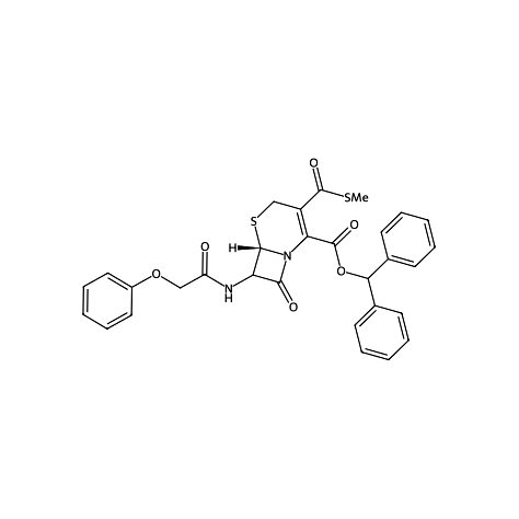 CSC(=O)C1=C(C(=O)OC(c2ccccc2)c2ccccc2)N2C(=O)C(NC(=O)COc3ccccc3)[C@@H]2SC1